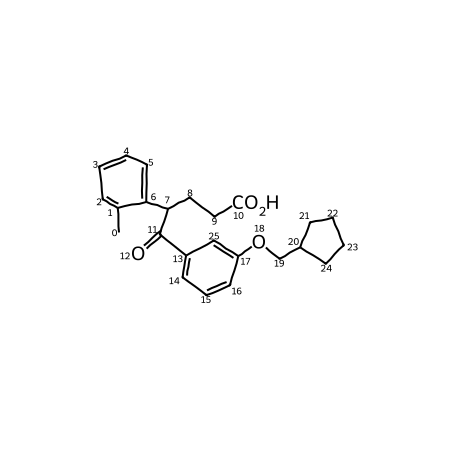 Cc1ccccc1C(CCC(=O)O)C(=O)c1cccc(OCC2CCCC2)c1